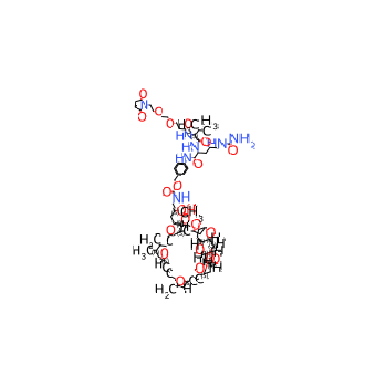 C=C1C[C@@H]2CC[C@@]34C[C@H]5O[C@H]6[C@@H](O3)[C@H]3OC(CC[C@@H]3O[C@H]6[C@H]5O4)CC(=O)C[C@H]3C(CC4O[C@@H](CCC1O2)C[C@@H](C)C4=C)OC(C[C@H](O)CNC(=O)OCc1ccc(NC(=O)C(CCCNC(N)=O)NC(=O)[C@@H](NC(=O)CCOCCOCCN2C(=O)C=CC2=O)C(C)C)cc1)[C@@H]3OC